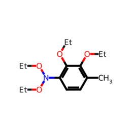 CCOc1c(C)ccc(N(OCC)OCC)c1OCC